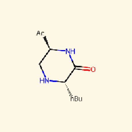 CCCC[C@@H]1NC[C@@H](C(C)=O)NC1=O